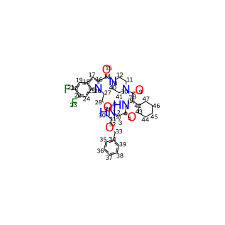 CN[C@@H](C)C(=O)N[C@H](C(=O)N1CCN(C(=O)c2cc3cc(F)c(F)cc3n2CCOCCOCc2ccccc2)CC1)C1CCCCC1